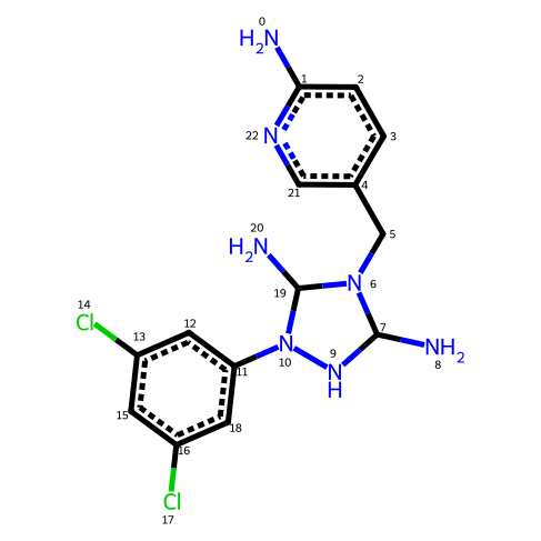 Nc1ccc(CN2C(N)NN(c3cc(Cl)cc(Cl)c3)C2N)cn1